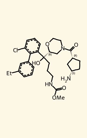 CCc1cccc(-c2c(Cl)cccc2C(O)(CCCNC(=O)OC)[C@H]2CN(C(=O)[C@@H]3CC[C@H](N)C3)CCO2)c1